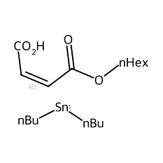 CCCCCCOC(=O)/C=C\C(=O)O.CCC[CH2][Sn][CH2]CCC